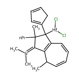 CCCC1(C)C(=[Si](C)C)C2=C(C=CC=CC2C)[C]1(C1=CC=CC1)[Hf]([Cl])[Cl]